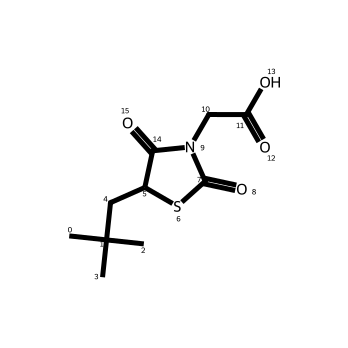 CC(C)(C)CC1SC(=O)N(CC(=O)O)C1=O